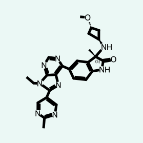 CCn1c(-c2cnc(C)nc2)nc2c(-c3ccc4c(c3)[C@](C)(N[C@H]3C[C@H](OC)C3)C(=O)N4)ncnc21